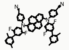 Cc1ccc(C)c(-c2cc(F)c(N(c3ccc(C#N)cc3)c3ccc4ccc5c(N(c6ccc(C#N)cc6)c6cc(F)c(-c7cc(C)ccc7C)cc6F)ccc6ccc3c4c65)cc2F)c1